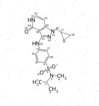 CC(C)N(C)S(=O)(=O)c1ccc(Nc2nn(CC3CC3)c3cc[nH]c(=O)c23)cc1